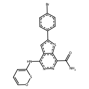 NC(=O)c1nnc(NC2=CC=COS2)c2cc(-c3ccc(Br)cc3)sc12